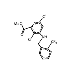 COC(=O)c1nc(Cl)cc(NCc2ccccc2C(F)(F)F)c1Cl